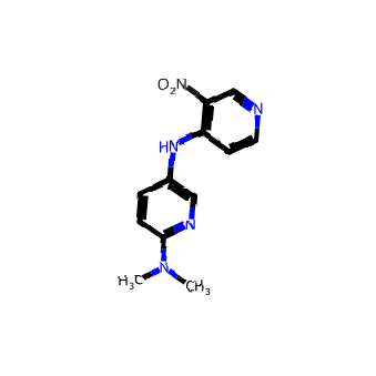 CN(C)c1ccc(Nc2ccncc2[N+](=O)[O-])cn1